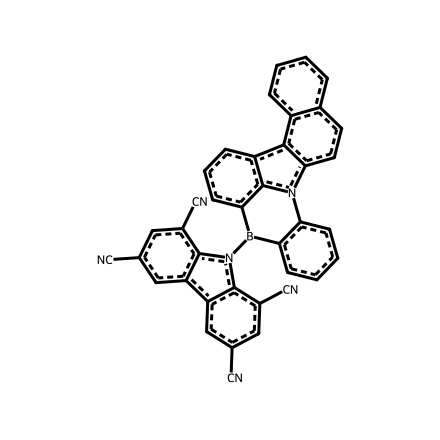 N#Cc1cc(C#N)c2c(c1)c1cc(C#N)cc(C#N)c1n2B1c2ccccc2-n2c3ccc4ccccc4c3c3cccc1c32